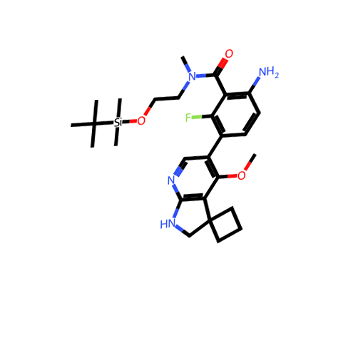 COc1c(-c2ccc(N)c(C(=O)N(C)CCO[Si](C)(C)C(C)(C)C)c2F)cnc2c1C1(CCC1)CN2